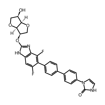 O=c1[nH]ccn1-c1ccc(-c2ccc(-c3c(F)cc4[nH]c(O[C@@H]5CO[C@H]6[C@@H]5OC[C@H]6O)nc4c3F)cc2)cc1